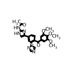 COc1cc(C(=O)c2ccc(-c3c[nH]c(NC(C)=O)n3)cc2-n2cncn2)cc(OC)c1OC